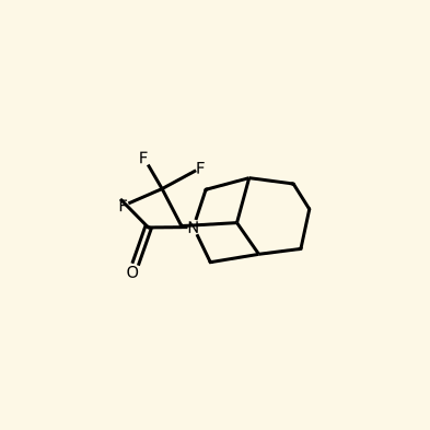 CC(=O)N1CC2CCCC(C1)C2CC(F)(F)F